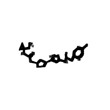 Cc1cnc(CC(=O)Nc2cc([C@H]3CC[C@@H](OC(=O)NC4(CC(F)(F)F)CC4)C3)[nH]n2)cn1